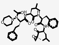 CC(=O)N([C@@H](CCc1ccccc1)C(=O)N[C@@H](CC(C)C)C(=O)N[C@@H](Cc1ccccc1)C(=O)N[C@@H](CC(C)C)C(=O)[C@@]1(C)CO1)N1CCOCC1